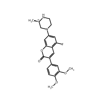 COc1ccc(-c2cc3c(F)cc(N4CCN[C@H](C)C4)cc3oc2=O)cc1OC